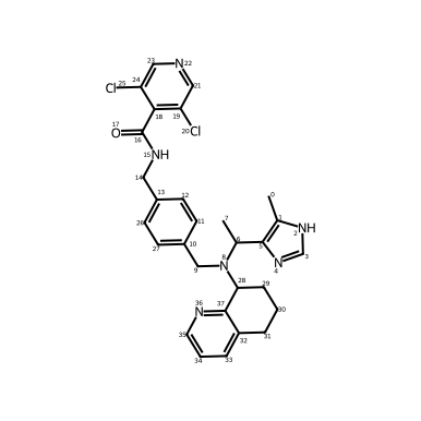 Cc1[nH]cnc1C(C)N(Cc1ccc(CNC(=O)c2c(Cl)cncc2Cl)cc1)C1CCCc2cccnc21